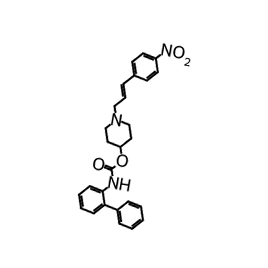 O=C(Nc1ccccc1-c1ccccc1)OC1CCN(CC=Cc2ccc([N+](=O)[O-])cc2)CC1